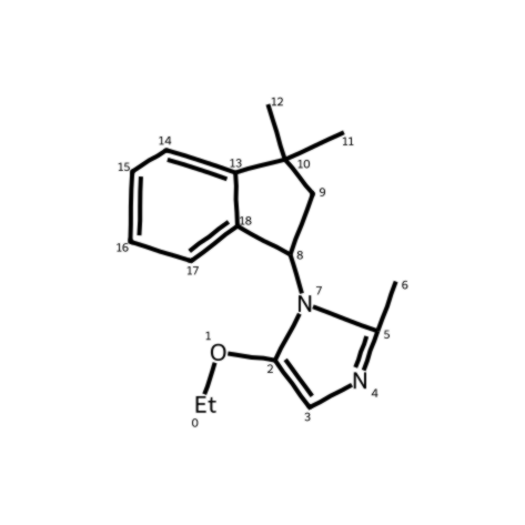 CCOc1cnc(C)n1C1CC(C)(C)c2ccccc21